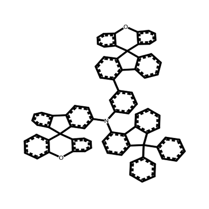 c1ccc(C2(c3ccccc3)c3ccccc3-c3c(N(c4cccc(-c5cccc6c5-c5ccccc5C65c6ccccc6Oc6ccccc65)c4)c4ccc5c(c4)C4(c6ccccc6Oc6ccccc64)c4ccccc4-5)cccc32)cc1